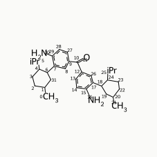 CC1CCC(C(C)C)C(c2cc(C(=O)c3ccc(N)c(C4CC(C)CCC4C(C)C)c3)ccc2N)C1